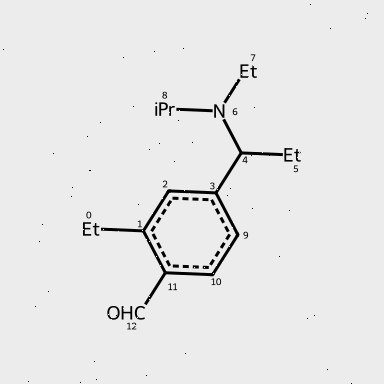 CCc1cc(C(CC)N(CC)C(C)C)ccc1C=O